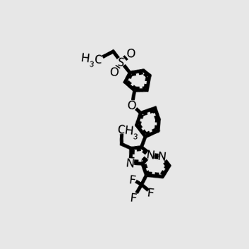 CCc1nc2c(C(F)(F)F)ccnn2c1-c1cccc(Oc2cccc(S(=O)(=O)CC)c2)c1